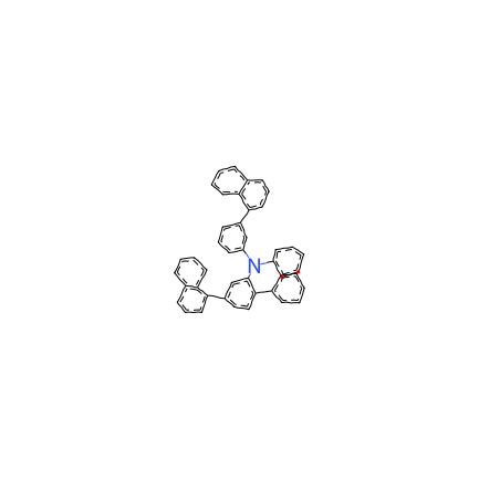 c1ccc(-c2ccc(-c3cccc4ccccc34)cc2N(c2ccccc2)c2cccc(-c3cccc4ccccc34)c2)cc1